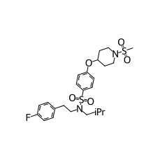 CC(C)CN(CCc1ccc(F)cc1)S(=O)(=O)c1ccc(OC2CCN(S(C)(=O)=O)CC2)cc1